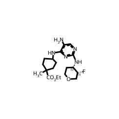 CCOC(=O)C1(C)CCC(Nc2nc(N[C@H]3CCOC[C@H]3F)ncc2N)CC1